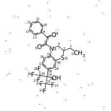 CCC1CN(C(=O)C(=O)c2ccccc2)c2ccc(C(O)(C(F)(F)F)C(F)(F)F)cc2S1